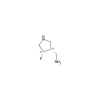 NC[C@H]1CNC[C@H]1F